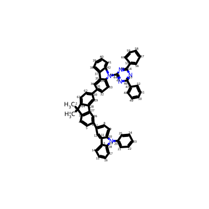 CC1(C)c2ccc(-c3ccc4c(c3)c3ccccc3n4-c3ccccc3)cc2-c2cc(-c3ccc4c(c3)c3ccccc3n4-c3nc(-c4ccccc4)nc(-c4ccccc4)n3)ccc21